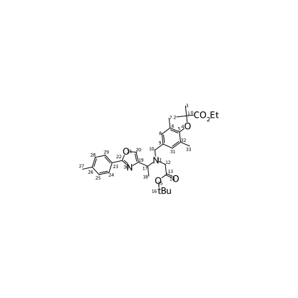 CCOC(=O)C(C)(C)Oc1c(C)cc(CN(CC(=O)OC(C)(C)C)C(C)c2coc(-c3ccc(C)cc3)n2)cc1C